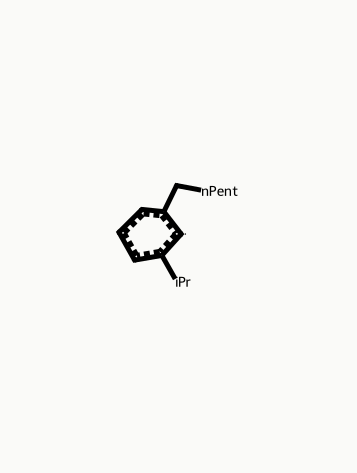 CCCCCCc1[c]c(C(C)C)ccc1